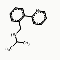 CC(C)NCc1ccccc1-c1ccccn1